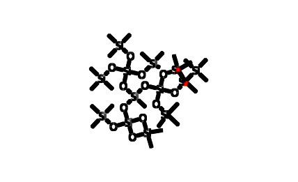 C[Si](C)(C)O[Si](O[Si](C)(C)C)(O[Si](C)(C)C)O[Si](C)(O[Si]1(O[Si](C)(C)C)O[Si](C)(C)O1)O[Si](O[Si](C)(C)C)(O[Si](C)(C)C)O[Si](C)(C)[Si](C)(C)C